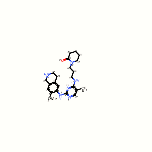 COc1cc2c(cc1Nc1ncc(C(F)(F)F)c(NCCCN3CCCCC3=O)n1)CCNC2